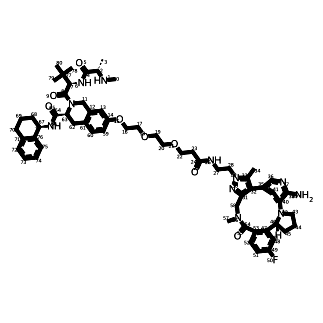 CN[C@@H](C)C(=O)N[C@H](C(=O)N1Cc2cc(OCCOCCOCCC(=O)NCCn3nc4c(c3C)-c3cnc(N)c(c3)N3CCC[C@@H]3c3cc(F)ccc3C(=O)N(C)C4)ccc2C[C@H]1C(=O)N[C@@H]1CCCc2ccccc21)C(C)(C)C